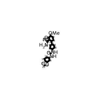 COc1ccc(-c2ccc(NC(=O)Nc3ccc4c(c3)OCO4)cc2)c2c(N)noc12